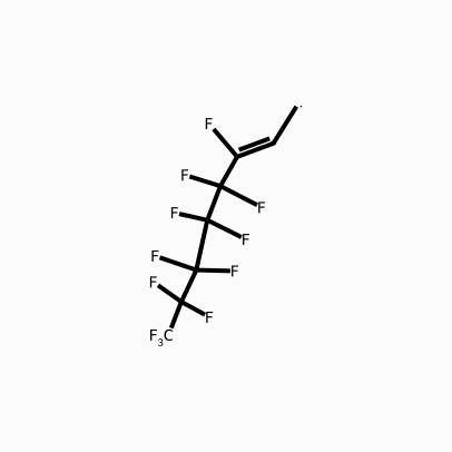 [CH2]C=C(F)C(F)(F)C(F)(F)C(F)(F)C(F)(F)C(F)(F)F